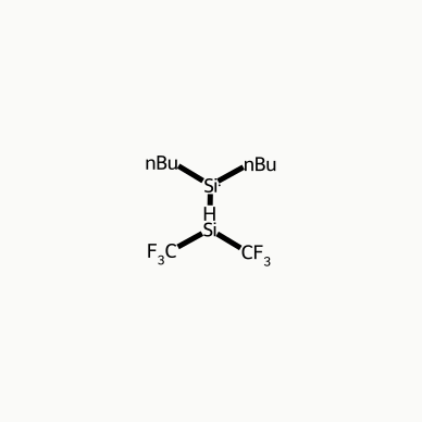 CCCC[Si](CCCC)[SiH](C(F)(F)F)C(F)(F)F